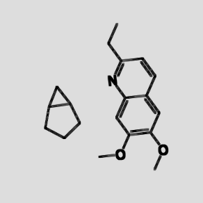 C1CC2CC2C1.CCc1ccc2cc(OC)c(OC)cc2n1